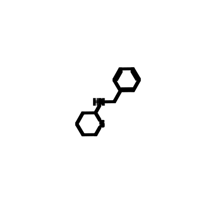 c1ccc(CNC2CCCCS2)cc1